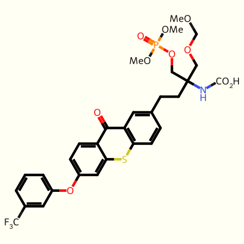 COCOCC(CCc1ccc2sc3cc(Oc4cccc(C(F)(F)F)c4)ccc3c(=O)c2c1)(COP(=O)(OC)OC)NC(=O)O